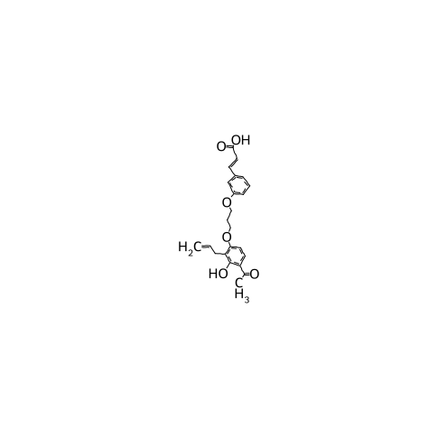 C=CCc1c(OCCCOc2cccc(C=CC(=O)O)c2)ccc(C(C)=O)c1O